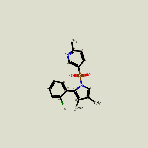 [CH2]c1cn(S(=O)(=O)c2ccc(C)nc2)c(-c2ccccc2F)c1OC